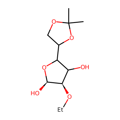 CCO[C@@H]1C(O)C(C2COC(C)(C)O2)O[C@@H]1O